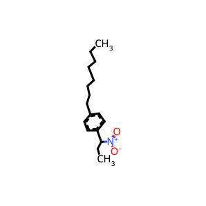 CCCCCCCCc1ccc(C(CC)[N+](=O)[O-])cc1